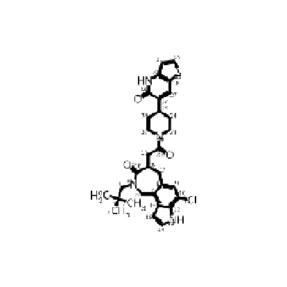 CC(C)(C)CN1Cc2c(cc(Cl)c3[nH]ccc23)CC(CC(=O)N2CCC(c3cc4sccc4[nH]c3=O)CC2)C1=O